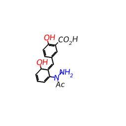 CC(=O)N(N)C1=CC=CC(O)C1=Cc1ccc(O)c(C(=O)O)c1